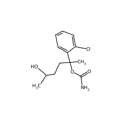 CC(O)CCC(C)(OC(N)=O)c1ccccc1Cl